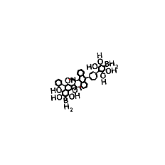 Bc1c(O)c(O)c(C2=CCC=C(c3c4ccccc4c(/C(=C/C)c4c(C=C)oc5c4c(O)c(-c4ccccc4)c4c(O)c(O)c(B)c(O)c45)c4ccccc34)C=C2)c(O)c1O